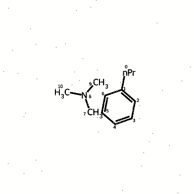 CCCc1ccccc1.CN(C)C